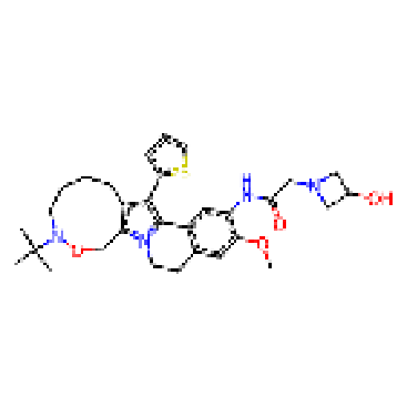 COc1cc2c(cc1NC(=O)CN1CC(O)C1)-c1c(-c3cccs3)c3c(n1CC2)CON(C(C)(C)C)CCCC3